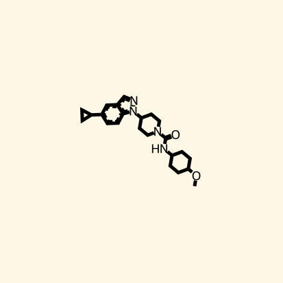 COC1CCC(NC(=O)N2CCC(n3ncc4cc(C5CC5)ccc43)CC2)CC1